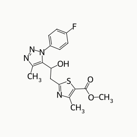 COC(=O)c1sc(CC(O)c2c(C)nnn2-c2ccc(F)cc2)nc1C